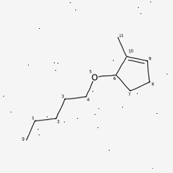 CCCCCOC1CCC=C1C